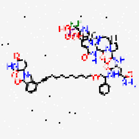 CN1CC[C@H]2CC[C@@H](C(=O)N[C@@H](CCC(N)=O)C(=O)NC(COCCCCCCCCCC#Cc3cccc4c3CN(C3CCC(=O)NC3=O)C4=O)c3ccccc3)N2C(=O)[C@@H](NC(=O)c2cc3cc(C(F)(F)P(=O)(O)O)ncc3[nH]2)C1